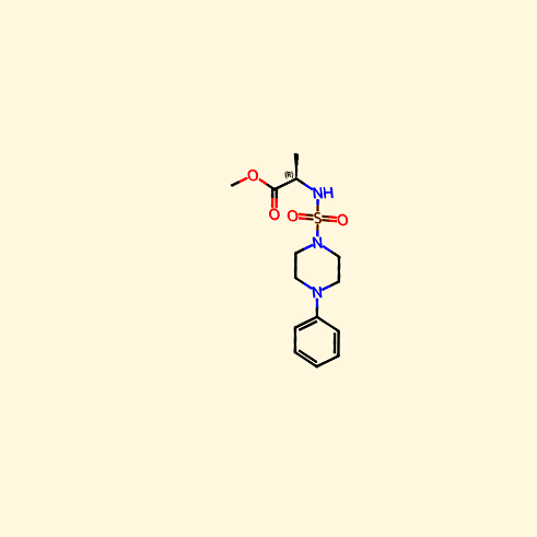 COC(=O)[C@@H](C)NS(=O)(=O)N1CCN(c2ccccc2)CC1